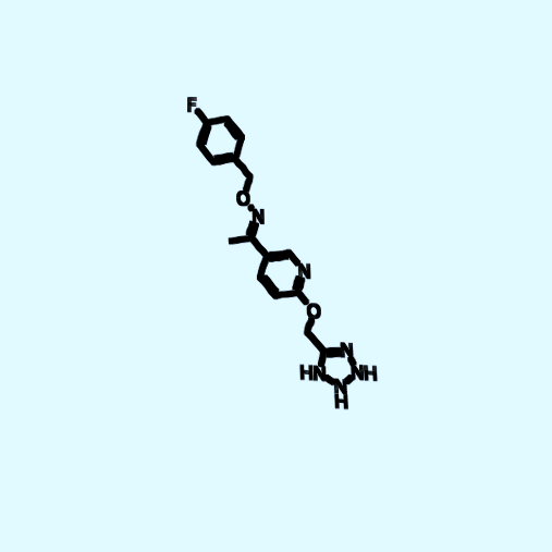 C/C(=N\OCc1ccc(F)cc1)c1ccc(OCC2=NNNN2)nc1